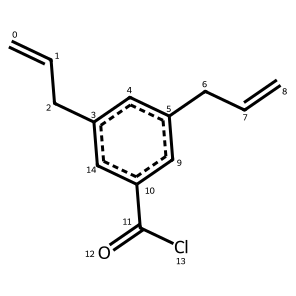 C=CCc1cc(CC=C)cc(C(=O)Cl)c1